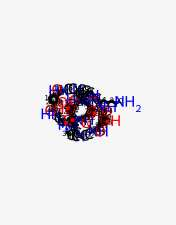 NCCCCC1CN2CCCN3CCNC(=O)c4cccc(c4O)C(=O)NCCN(CCCN(CCNC(=O)c4cccc(c4O)C(=O)NCC2)CCNC(=O)c2cccc(c2O)C(=O)N1)CCNC(=O)c1cccc(c1O)C(=O)NCC3